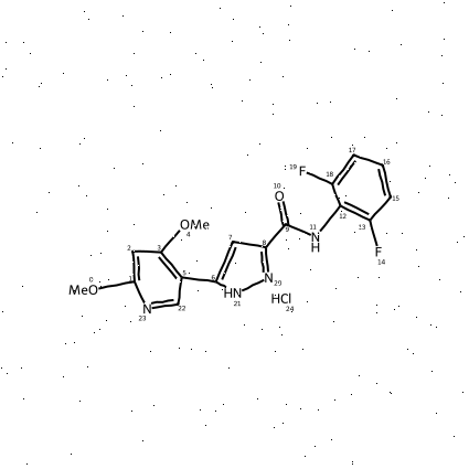 COc1cc(OC)c(-c2cc(C(=O)Nc3c(F)cccc3F)n[nH]2)cn1.Cl